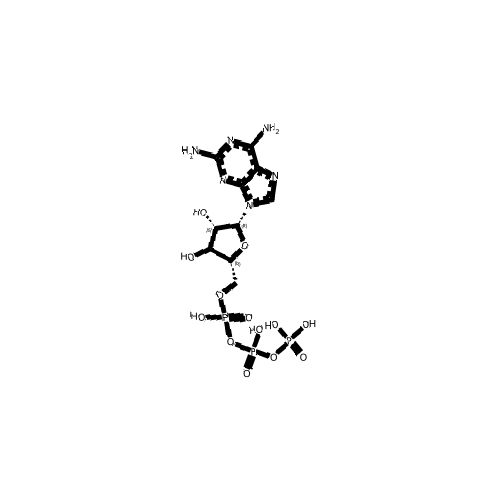 Nc1nc(N)c2ncn([C@@H]3O[C@H](COP(=O)(O)OP(=O)(O)OP(=O)(O)O)C(O)[C@@H]3O)c2n1